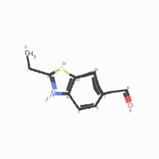 CCc1nc2ccc(C=O)cc2s1